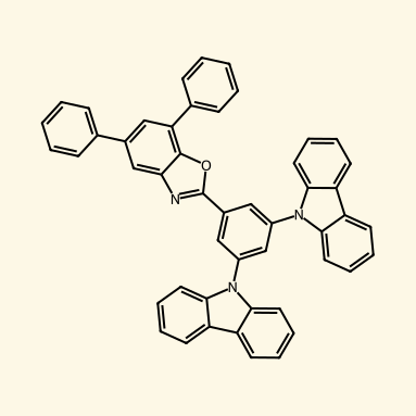 c1ccc(-c2cc(-c3ccccc3)c3oc(-c4cc(-n5c6ccccc6c6ccccc65)cc(-n5c6ccccc6c6ccccc65)c4)nc3c2)cc1